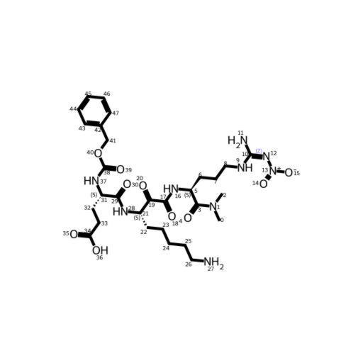 CN(C)C(=O)[C@H](CCCN/C(N)=N\[N+](=O)[O-])NC(=O)C(=O)[C@H](CCCCCN)NC(=O)[C@H](CCC(=O)O)NC(=O)OCc1ccccc1